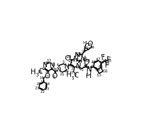 CCc1c(N2CCN(C(=O)c3ncnc(C)c3OCc3ccccc3)CC2)c(=O)n2nc(C3C4COCC43)nc2n1CC(=O)Nc1ccc(C(F)(F)F)c2c1CC2